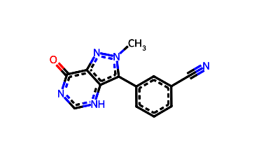 Cn1nc2c(=O)nc[nH]c2c1-c1cccc(C#N)c1